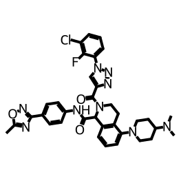 Cc1nc(-c2ccc(NC(=O)C3c4cccc(N5CCC(N(C)C)CC5)c4CCN3C(=O)c3cn(-c4cccc(Cl)c4F)nn3)cc2)no1